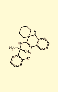 CC(C)(NC1=Nc2ccccc2NC12CCCCC2)c1ccccc1Cl